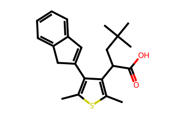 Cc1sc(C)c(C(CC(C)(C)C)C(=O)O)c1C1=Cc2ccccc2C1